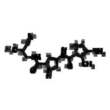 Cc1c(N)c[nH]c1C(=O)Nc1c[nH]c(C(=O)NCC(C)C#N)c1